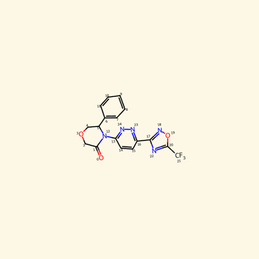 O=C1COCC(c2ccccc2)N1c1ccc(-c2noc(C(F)(F)F)n2)nn1